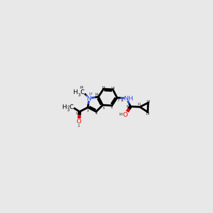 CC(=O)c1cc2cc(NC(=O)C3CC3)ccc2n1C